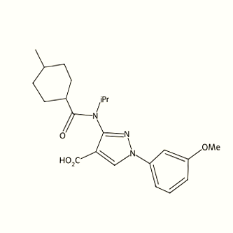 COc1cccc(-n2cc(C(=O)O)c(N(C(=O)C3CCC(C)CC3)C(C)C)n2)c1